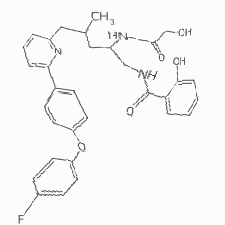 CC(Cc1cccc(-c2ccc(Oc3ccc(F)cc3)cc2)n1)CC(CNC(=O)c1ccccc1O)NC(=O)CO